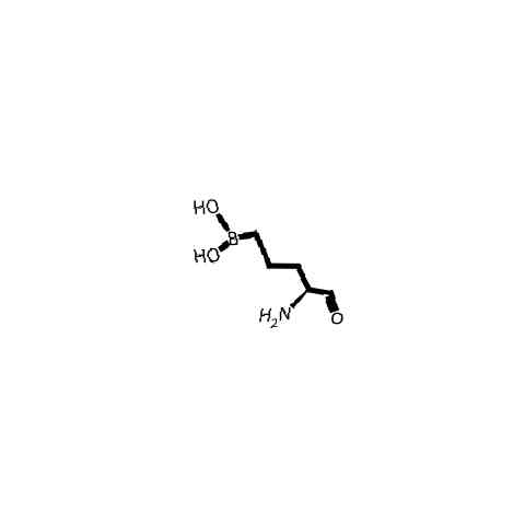 N[C@H](C=O)CCCB(O)O